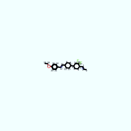 C/C=C/C1CCC(C2CCC(/C=C/c3ccc(OCC)cc3)CC2)CC1(F)F